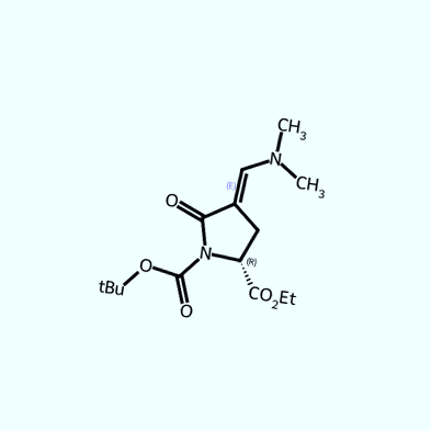 CCOC(=O)[C@H]1C/C(=C\N(C)C)C(=O)N1C(=O)OC(C)(C)C